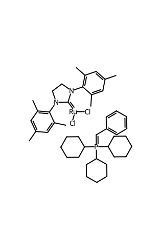 C(c1ccccc1)=P(C1CCCCC1)(C1CCCCC1)C1CCCCC1.Cc1cc(C)c(N2CCN(c3c(C)cc(C)cc3C)[C]2=[Ru]([Cl])[Cl])c(C)c1